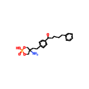 NC1(CCc2ccc(C(=O)CCCCc3ccccc3)cc2)COP(=O)(O)OC1